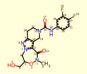 CN1OC(CO)Cn2nc3c(c2C1=O)CN(C(=O)Nc1ccc(F)c(F)c1)CC3